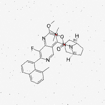 COc1nc(N2C[C@H]3CC[C@@H](C2)N3C(=O)OC(C)(C)C)c2cnc(-c3cccc4cccc(C)c34)c(F)c2n1